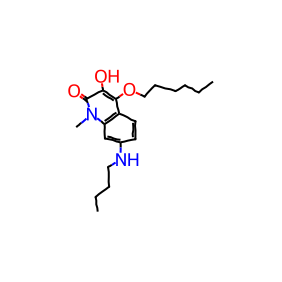 CCCCCCOc1c(O)c(=O)n(C)c2cc(NCCCC)ccc12